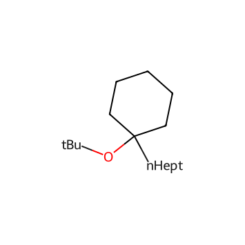 CCCCCCCC1(OC(C)(C)C)CCCCC1